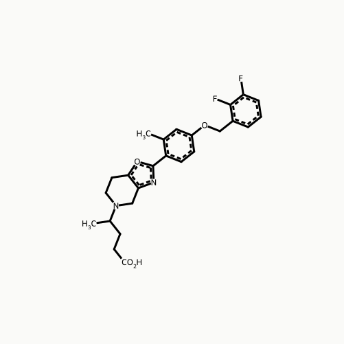 Cc1cc(OCc2cccc(F)c2F)ccc1-c1nc2c(o1)CCN(C(C)CCC(=O)O)C2